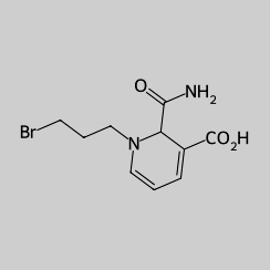 NC(=O)C1C(C(=O)O)=CC=CN1CCCBr